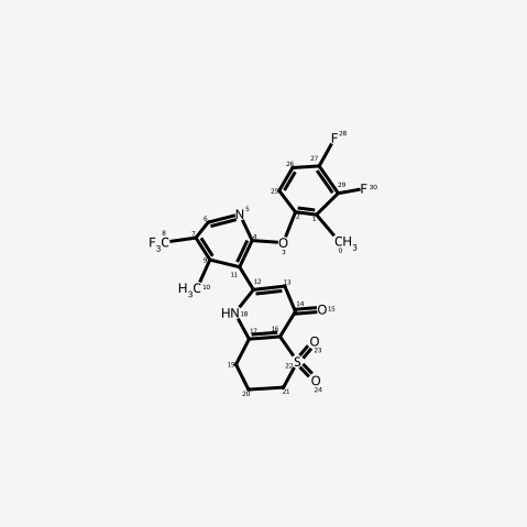 Cc1c(Oc2ncc(C(F)(F)F)c(C)c2-c2cc(=O)c3c([nH]2)CCCS3(=O)=O)ccc(F)c1F